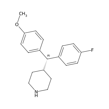 COc1ccc([C@H](c2ccc(F)cc2)C2CCNCC2)cc1